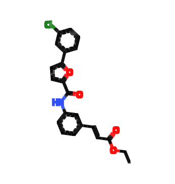 CCOC(=O)C=Cc1cccc(NC(=O)c2ccc(-c3cccc(Cl)c3)o2)c1